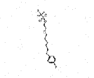 O=S(=O)(OCCOCCCCCCc1ccc(F)cc1)C(F)(F)F